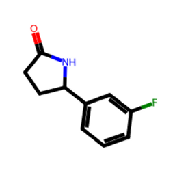 O=C1CCC(c2cccc(F)c2)N1